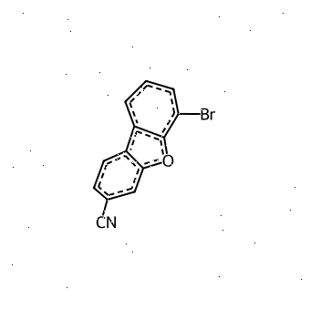 N#Cc1ccc2c(c1)oc1c(Br)cccc12